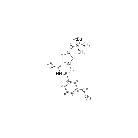 CC(C)(C)[Si](C)(C)O[C@H]1CCN(C[C@@H](NCC(F)(F)F)c2cccc(OC(F)(F)F)c2)C1